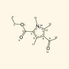 CCOC(=O)c1c(C)c(C(C)=O)c(C)n1C